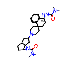 CN(C)C(=O)N[C@@H]1CCC2(CCN(C3CC4CCC5N(C(=O)N(C)C)C45C3)CC2)c2ccccc21